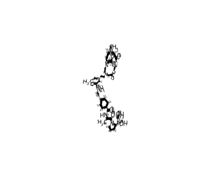 CCN(CCN1CCN2CCN(C)CC(=O)OC(OC(=O)C2)OC(=O)C1)CC(=O)NC[C@H]1CC[C@H](C(=O)N[C@H](C)C(=O)N2CCC[C@H]2B(O)O)CC1